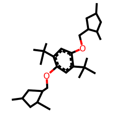 CC1CC(C)C(COc2cc(C(C)(C)C)c(OCC3CC(C)CC3C)cc2C(C)(C)C)C1